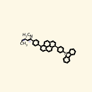 C=N/C(=C\C=C/C)c1ccc(-c2ccc3ccc4c(-c5ccc(-n6c7ccccc7c7ccccc76)cc5)ccc5ccc2c3c54)cc1